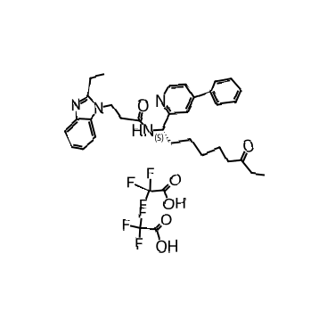 CCC(=O)CCCCC[C@H](NC(=O)CCn1c(CC)nc2ccccc21)c1cc(-c2ccccc2)ccn1.O=C(O)C(F)(F)F.O=C(O)C(F)(F)F